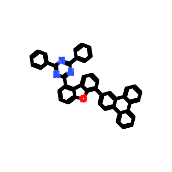 c1ccc(-c2nc(-c3ccccc3)nc(-c3cccc4oc5c(-c6ccc7c8ccccc8c8ccccc8c7c6)cccc5c34)n2)cc1